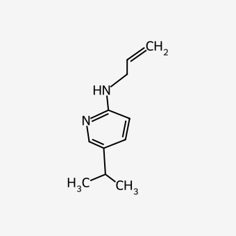 C=CCNc1ccc(C(C)C)cn1